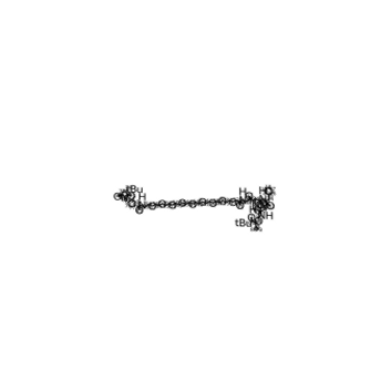 CC(C)(C)C(=O)[C@H](OCNC(=O)CNC(=O)[C@H](Cc1ccccc1)NC(=O)CNC(=O)CNC(=O)COCCOCCOCCOCCOCCOCCOCCOCCOCCNC(=O)[C@H]1CC[C@H](CN2C(=O)CC(C(C)(C)C)C2=O)CC1)C1CC1